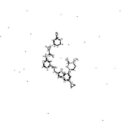 CN1CCN(c2cc(C3CC3)cn3cc(CNc4cc(NC(=O)[C@H]5C[C@@H]5c5cccc(Cl)c5)ncn4)nc23)CC1=O